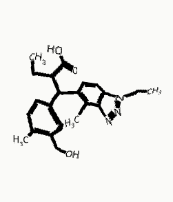 CCC(C(=O)O)C(c1ccc(C)c(CO)c1)c1ccc2c(nnn2CC)c1C